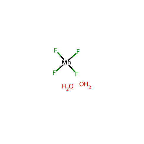 O.O.[F][Mn]([F])([F])[F]